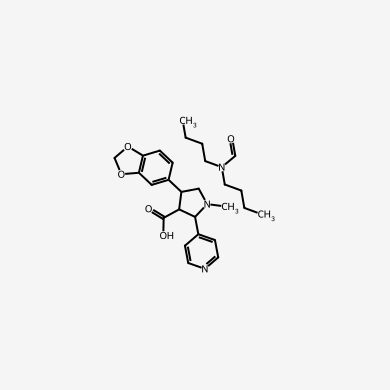 CCCCN(C=O)CCCC.CN1CC(c2ccc3c(c2)OCO3)C(C(=O)O)C1c1ccncc1